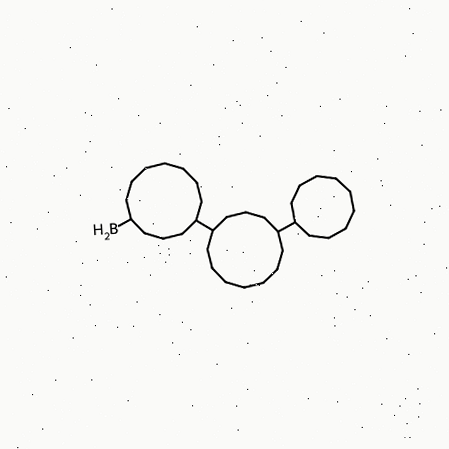 BC1CCCCCCCC(C2CCCCCCCC(C3CCCCCCCCC3)CCC2)CCC1